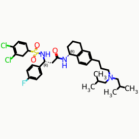 CC(C)CN(CCCc1ccc2c(c1)CCC[C@H]2NC(=O)C[C@@H](NS(=O)(=O)C1C=CC(Cl)=C(Cl)C1)c1ccc(F)cc1)CC(C)C